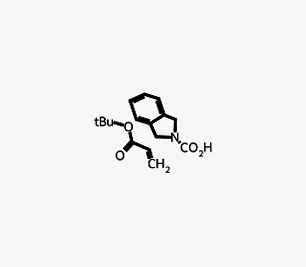 C=CC(=O)OC(C)(C)C.O=C(O)N1Cc2ccccc2C1